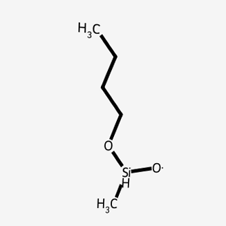 CCCCO[SiH](C)[O]